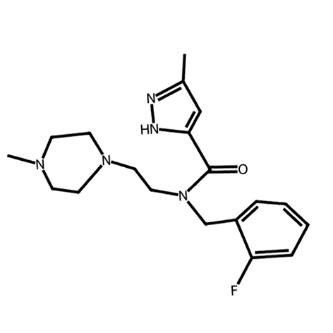 Cc1cc(C(=O)N(CCN2CCN(C)CC2)Cc2ccccc2F)[nH]n1